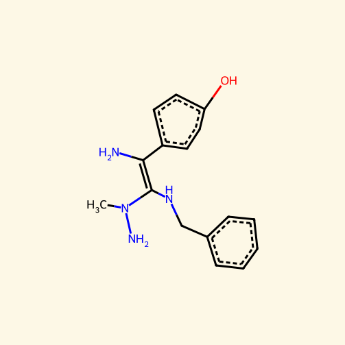 CN(N)/C(NCc1ccccc1)=C(\N)c1ccc(O)cc1